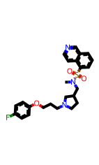 CN(CC1CCN(CCCOc2ccc(F)cc2)C1)S(=O)(=O)c1cccc2cnccc12